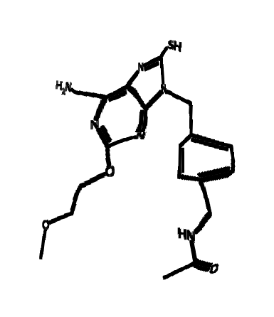 COCCOc1nc(N)c2nc(S)n(Cc3ccc(CNC(C)=O)cc3)c2n1